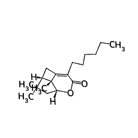 CCCCCCC1=C2C[C@H]3C(C)(C)C[C@@H](OC1=O)[C@@]23C